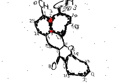 Cc1ccc(/C=C2/C(=O)c3ccccc3OC2c2ccc(C)cc2)cc1